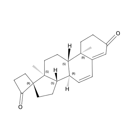 C[C@]12CCC(=O)C=C1C=C[C@@H]1[C@@H]2CC[C@@]2(C)[C@H]1CC[C@@]21CCC1=O